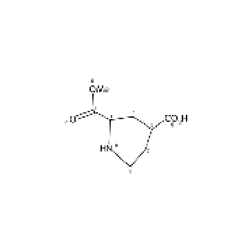 COC(=O)C1CC(C(=O)O)CCN1